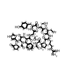 CC(C)C[C@H](NC(=O)[C@@H](CS)NC(=O)[C@H](Cc1ccc(O)cc1)NC(=O)[C@H](CO)NC(=O)[C@@H](Cc1cccnc1)NC(=O)[C@H](Cc1c[nH]cn1)NC(=O)[C@@H]1CCC(=O)N1)C(=O)N[C@@H](CCCNC(=N)N)C(=O)N1CCC[C@H]1C(=O)N[C@H](C)C(=O)O